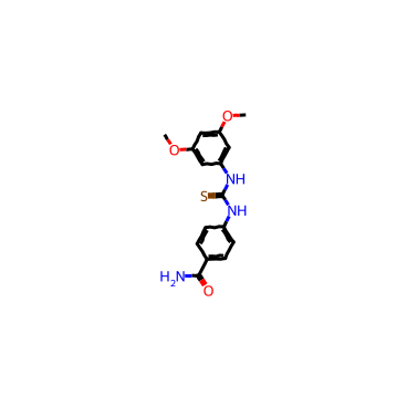 COc1cc(NC(=S)Nc2ccc(C(N)=O)cc2)cc(OC)c1